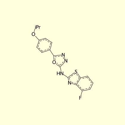 CC(C)Oc1ccc(-c2nnc(Nc3nc4c(F)cccc4s3)o2)cc1